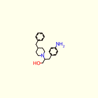 Nc1ccc(CC(CO)N2CCC(Cc3ccccc3)CC2)cc1